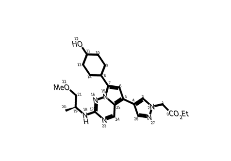 CCOC(=O)Cn1cc(-c2cc(C3CCC(O)CC3)n3nc(N[C@@H](C)COC)ncc23)cn1